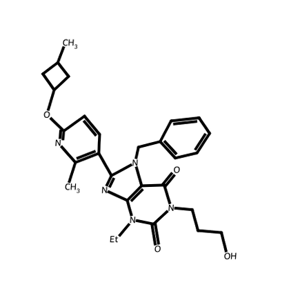 CCn1c(=O)n(CCCO)c(=O)c2c1nc(-c1ccc(OC3CC(C)C3)nc1C)n2Cc1ccccc1